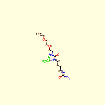 CCOCCOCCNC(=O)NCCCCNC(N)=O.Cl.Cl